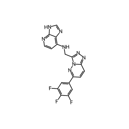 Fc1cc(-c2ccc3nnc(CNc4ccnc5[nH]cnc45)n3n2)cc(F)c1F